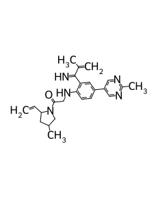 C=CC1CC(C)CN1C(=O)CNc1ccc(-c2cnc(C)nc2)cc1C(=N)C(=C)C